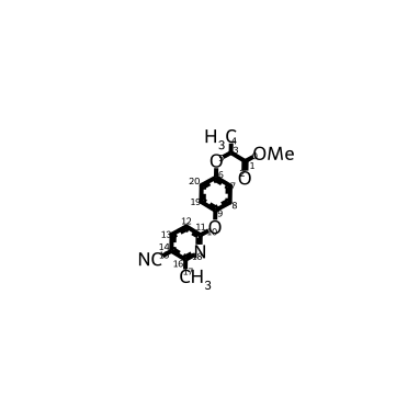 COC(=O)C(C)Oc1ccc(Oc2ccc(C#N)c(C)n2)cc1